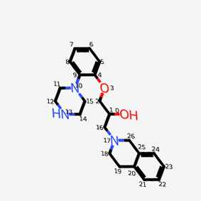 OC(COc1ccccc1N1CCNCC1)CN1CCc2ccccc2C1